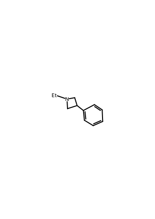 CCN1CC(c2ccccc2)C1